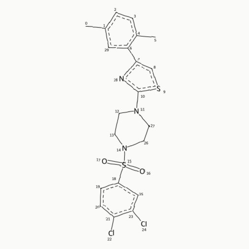 Cc1ccc(C)c(-c2csc(N3CCN(S(=O)(=O)c4ccc(Cl)c(Cl)c4)CC3)n2)c1